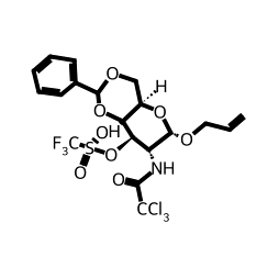 C=CCO[C@H]1O[C@@H]2COC(c3ccccc3)O[C@H]2[C@H](OS(=O)(=O)C(F)(F)F)[C@H]1NC(=O)C(Cl)(Cl)Cl